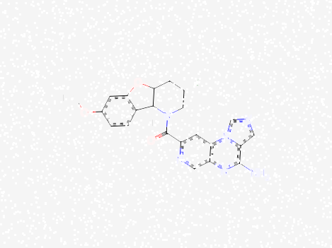 Nc1nc2cnc(C(=O)N3C[C@@H](F)C[C@@H]4Oc5cc(OC(F)(F)F)ccc5[C@@H]43)cc2n2cncc12